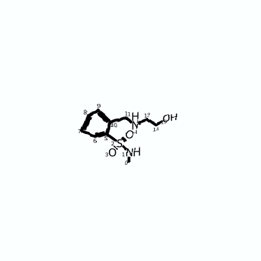 CNS(=O)(=O)c1ccccc1CNCCO